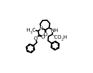 CC(C(=O)OCc1ccccc1)N1CCCCC(N[C@@H](CCc2ccccc2)C(=O)O)C1=O